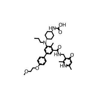 CCCN(c1cc(-c2ccc(OCCOC)cc2)cc(C(=O)NCc2c(C)[nH]c(C)cc2=O)c1C)[C@H]1CC[C@H](NC(=O)O)CC1